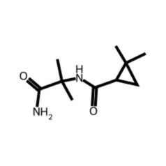 CC(C)(NC(=O)C1CC1(C)C)C(N)=O